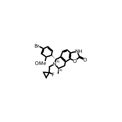 COC1C=C(Br)C=CC1[C@@H]1c2ccc3[nH]c(=O)oc3c2C[C@@H](C)N1CC1(F)CC1